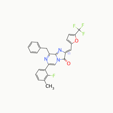 Cc1cccc(C2=CN3C(=O)/C(=C/c4ccc(C(F)(F)F)o4)N=C3C(Cc3ccccc3)=N2)c1F